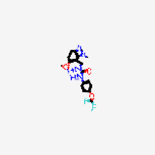 COc1ccc2ncn(C)c2c1CNC(=O)Nc1ccc(OC(F)F)cc1